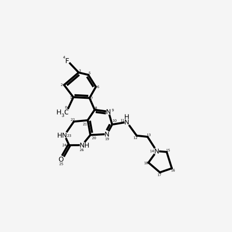 Cc1cc(F)ccc1-c1nc(NCCN2CCCC2)nc2c1CNC(=O)N2